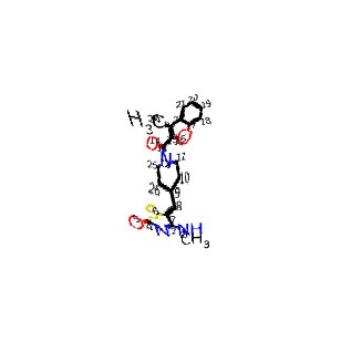 CNC1=NC(=O)S/C1=C\C1CCN(C(=O)c2oc3ccccc3c2C)CC1